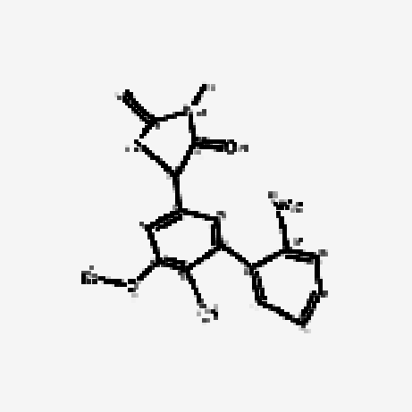 C=C1SC(c2cc(OCC)c(O)c(-c3ccccc3SC)c2)C(=O)N1C